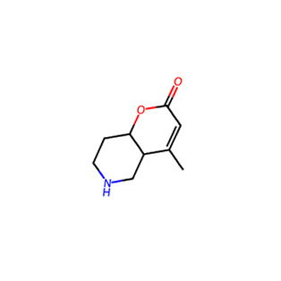 CC1=CC(=O)OC2CCNCC12